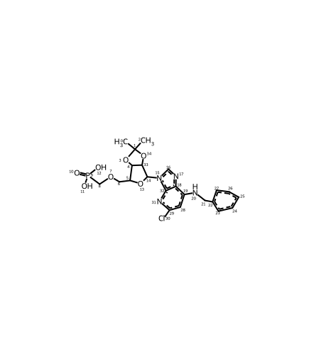 CC1(C)OC2C(COCP(=O)(O)O)OC(n3cnc4c(NCc5ccccc5)cc(Cl)nc43)C2O1